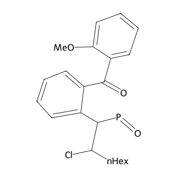 CCCCCCC(Cl)C(P=O)c1ccccc1C(=O)c1ccccc1OC